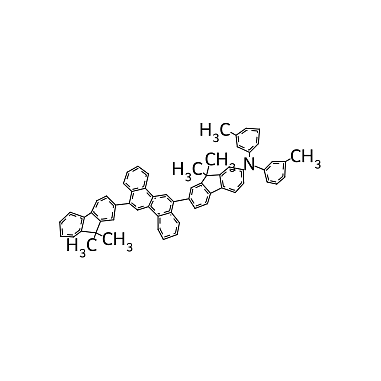 Cc1cccc(N(c2cccc(C)c2)c2ccc3c(c2)C(C)(C)c2cc(-c4cc5c6ccccc6c(-c6ccc7c(c6)C(C)(C)c6ccccc6-7)cc5c5ccccc45)ccc2-3)c1